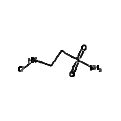 NS(=O)(=O)CCNCl